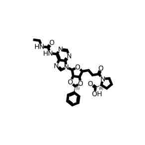 CCNC(=O)Nc1ncnc2c1ncn2C1OC(CCC(=O)N2CCC[C@@H]2C(=O)O)C2O[C@H](c3ccccc3)OC21